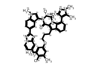 Cc1ccn2nc(-c3ccc4c(c3)c(N3C(=O)c5c(CCCOc6cc(C)c(Cl)c(C)c6)c6cccc(-c7c(C)nn(C)c7C)c6n5C(C)[C@H]3Cl)cn4C)nc2c1